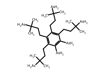 CC(C)([AsH2])CCc1c([AsH2])c([AsH2])c(CCC(C)(C)[AsH2])c(CCC(C)(C)[AsH2])c1CCC(C)(C)[AsH2]